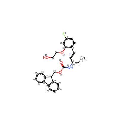 CC[C@H](/C=C/c1ccc(F)cc1OCCO)NC(=O)OCC1c2ccccc2-c2ccccc21